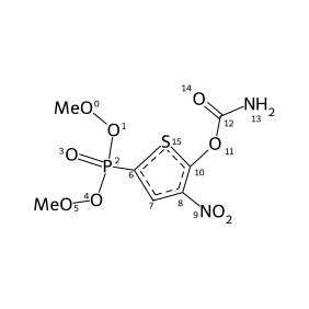 COOP(=O)(OOC)c1cc([N+](=O)[O-])c(OC(N)=O)s1